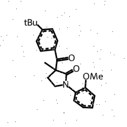 COc1ccccc1N1CCC(C)(C(=O)c2ccc(C(C)(C)C)cc2)C1=O